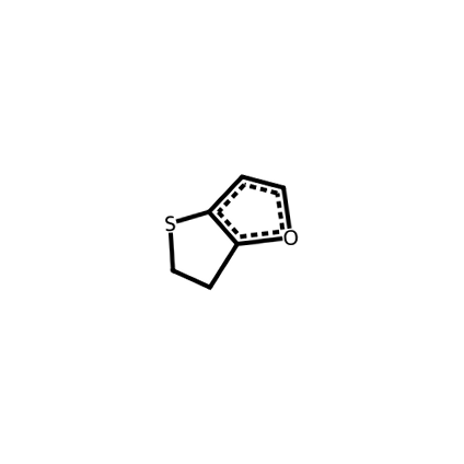 c1cc2c(o1)CCS2